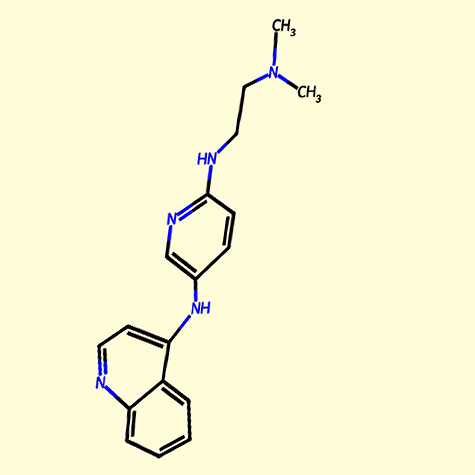 CN(C)CCNc1ccc(Nc2ccnc3ccccc23)cn1